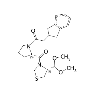 COC(OC)[C@@H]1CSCN1C(=O)[C@@H]1CCCN1C(=O)CC1Cc2ccccc2C1